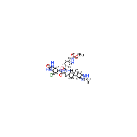 Cc1cc2[nH]c(C3CC3)nc2cc1-c1ccc(C[C@H](NC(=O)C2CCC(CNC(=O)OC(C)(C)C)CC2)C(=O)Nc2cc(Cl)c3[nH]c(=O)[nH]c3c2)cc1